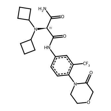 NC(=O)[C@@H](C(=O)Nc1ccc(N2CCOCC2=O)c(C(F)(F)F)c1)N(C1CCC1)C1CCC1